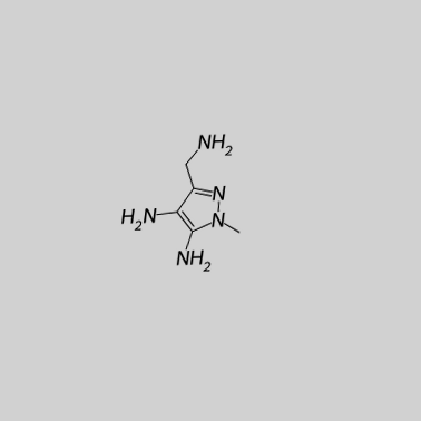 Cn1nc(CN)c(N)c1N